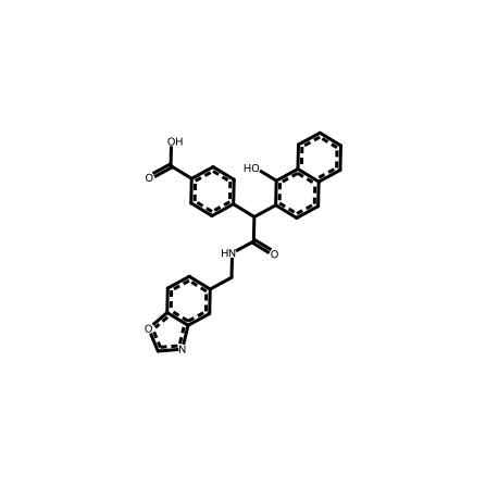 O=C(O)c1ccc(C(C(=O)NCc2ccc3ocnc3c2)c2ccc3ccccc3c2O)cc1